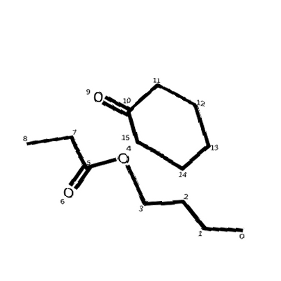 CCCCOC(=O)CC.O=C1CCCCC1